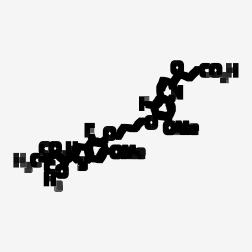 COc1cc2nc(C(=O)CCC(=O)O)ccc2c(F)c1OCCCCOc1c(OC)cc2sc(C(=O)CC(C)(C)C(=O)O)cc2c1F